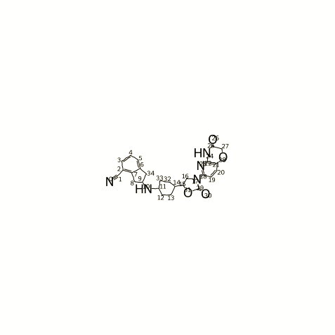 N#Cc1cccc2c1CC(NC1CCC(C3CN(c4ccc5c(n4)NC(=O)CO5)C(=O)O3)CC1)C2